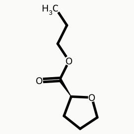 CCCOC(=O)[C@@H]1CCCO1